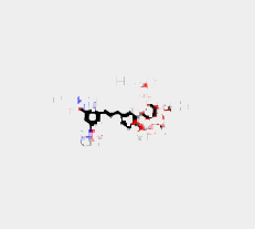 CNC(=O)c1cc(/C=C/Cc2cccc([C@H]3O[C@H](COC(C)=O)[C@@H](OC(C)=O)[C@H](OC(C)=O)[C@@H]3OC(C)=O)c2)cc(C(=O)NC)c1